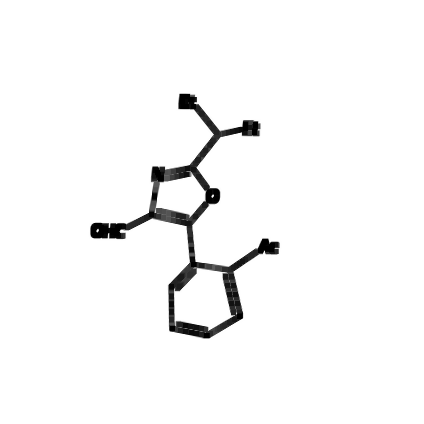 CCC(CC)c1nc(C=O)c(-c2ccccc2C(C)=O)o1